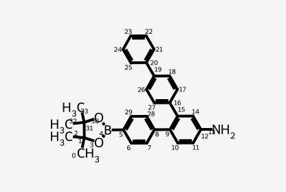 CC1(C)OB(c2ccc(-c3ccc(N)cc3-c3ccc(-c4ccccc4)cc3)cc2)OC1(C)C